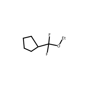 CCOC(F)(F)C1CCCC1